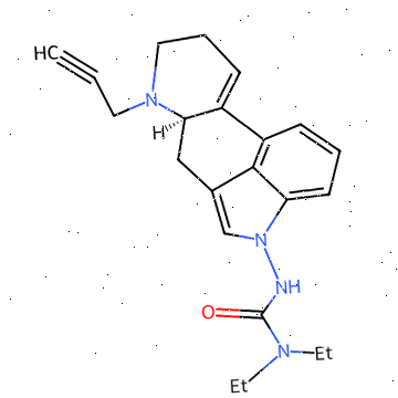 C#CCN1CCC=C2c3cccc4c3c(cn4NC(=O)N(CC)CC)C[C@H]21